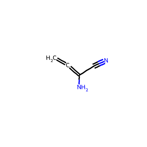 C=C=C(N)C#N